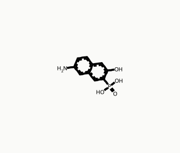 Nc1ccc2cc(O)c(P(=O)(O)O)cc2c1